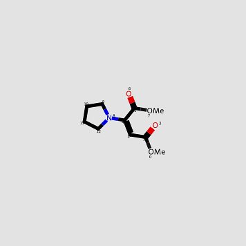 COC(=O)/C=C(\C(=O)OC)N1CCCC1